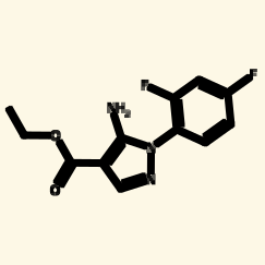 CCOC(=O)c1cnn(-c2ccc(F)cc2F)c1N